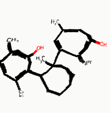 CCc1ccc(C)c(O)c1C1CCCCC1(C)c1cc(C)cc(O)c1C(C)C